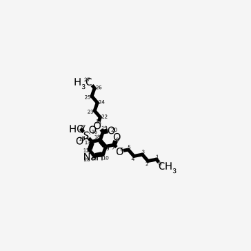 CCCCCCOC(=O)c1cccc(S(=O)(=O)O)c1C(=O)OCCCCCC.[NaH]